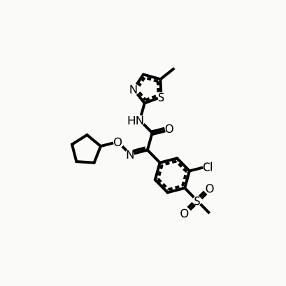 Cc1cnc(NC(=O)C(=NOC2CCCC2)c2ccc(S(C)(=O)=O)c(Cl)c2)s1